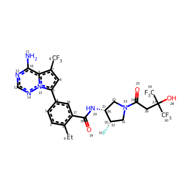 CCc1ccc(-c2cc(C(F)(F)F)c3c(N)ncnn23)cc1C(=O)N[C@@H]1CN(C(=O)CC(O)(C(F)(F)F)C(F)(F)F)C[C@@H]1F